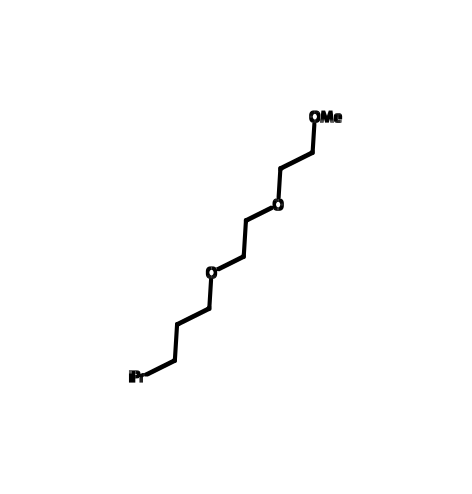 COCCOCCOCCCC(C)C